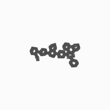 N#CC1CC=CCC1C1=CC=C(C2CCC(C3=CCC(c4nc(C5CCCCC5)nc(C5=CCCCC5)c4C4C=CC=CC4)C=C3)C3C=CC=CC23)CC1